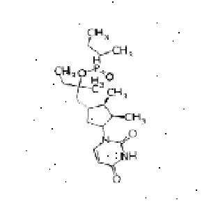 CCC(C)[PH](=O)OC(C)(CC)C[C@H]1CC(n2ccc(=O)[nH]c2=O)[C@H](C)[C@@H]1C